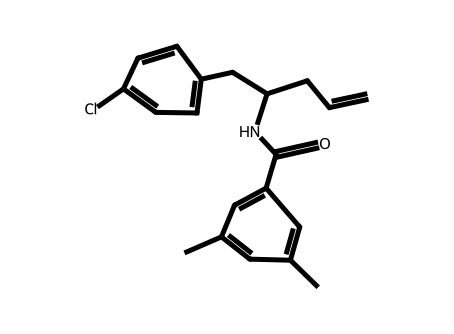 C=CCC(Cc1ccc(Cl)cc1)NC(=O)c1cc(C)cc(C)c1